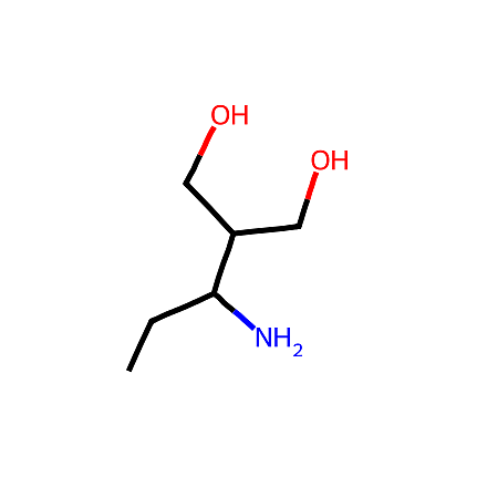 CCC(N)C(CO)CO